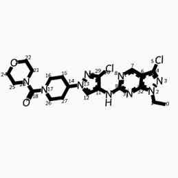 CCn1nc(Cl)c2cnc(Nc3cn(C4CCN(C(=O)N5CCOCC5)CC4)nc3Cl)nc21